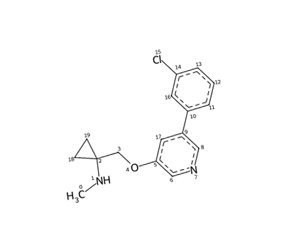 CNC1(COc2cncc(-c3cccc(Cl)c3)c2)CC1